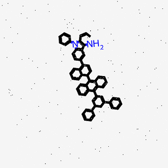 C/C=C\c1c(N)c2cc(C3=C4C=CC=CC4C(c4c5ccccc5c(C5=CC(c6ccccc6)CC(c6ccccc6)=C5)c5ccccc45)C=C3)ccc2n1-c1ccccc1